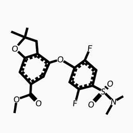 COC(=O)c1cc(Oc2cc(F)c(S(=O)(=O)N(C)C)cc2F)c2c(c1)OC(C)(C)C2